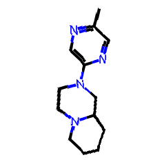 Cc1cnc(N2CCN3CCCCC3C2)cn1